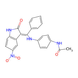 CC(=O)Nc1ccc(NC(=C2C(=O)Nc3ccc([N+](=O)[O-])cc32)c2ccccc2)cc1